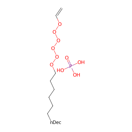 C=COOOOOOCCCCCCCCCCCCCCCC.O=P(O)(O)O